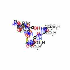 CCCC(=O)OCN(C(=O)[C@@H](NC(=O)[C@H]1CCCCN1C)C(C)CC)[C@H](C[C@@H](OC(C)=O)c1nc(C(=O)N[C@@H](Cc2ccc(O)cc2)C[C@H](C)C(=O)NNC(=O)OCCSSC[C@@H](C)NC(=O)[C@H](CC(=O)O)NC(=O)[C@H](CC(=O)O)NC(=O)Cc2ccc(CNC(=O)NCCCC[C@H](NC(=O)N[C@@H](CCCC(=O)O)C(=O)O)C(=O)O)cc2)cs1)C(C)C